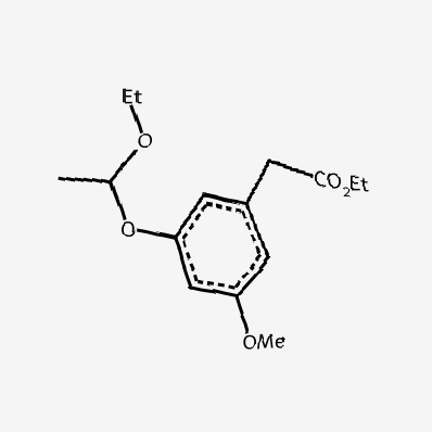 CCOC(=O)Cc1cc(OC)cc(OC(C)OCC)c1